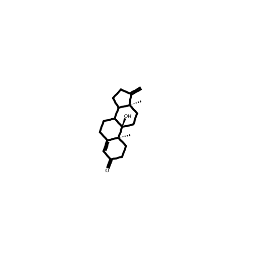 C=C1CCC2C3CCC4=CC(=O)CC[C@]4(C)[C@@]3(O)CC[C@]12C